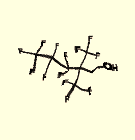 OCC(C(F)(F)F)(C(F)(F)F)C(F)(F)C(F)(F)C(F)(F)F